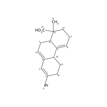 CC(C)C1=CC2=CCC3C(=CCCC3(C)C(=O)O)C2CC1